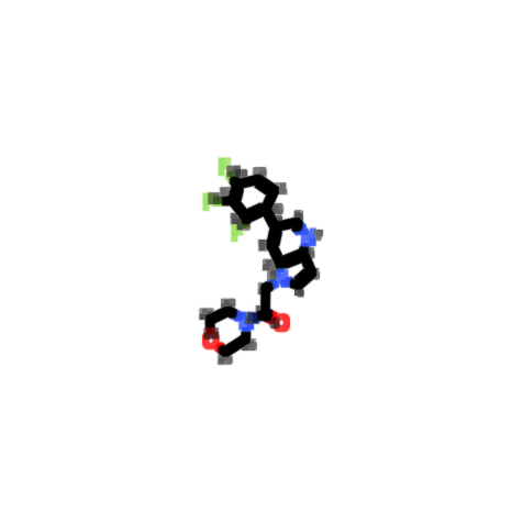 O=C(Cn1ccc2ncc(-c3ccc(F)c(F)c3F)cc21)N1CCOCC1